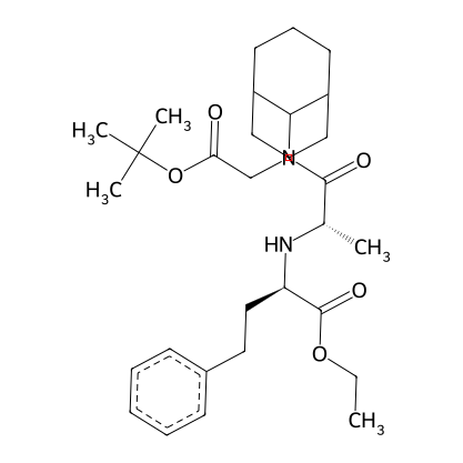 CCOC(=O)[C@@H](CCc1ccccc1)N[C@@H](C)C(=O)N(CC(=O)OC(C)(C)C)C1C2CCCC1CCC2